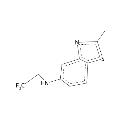 Cc1nc2cc(NCC(F)(F)F)ccc2s1